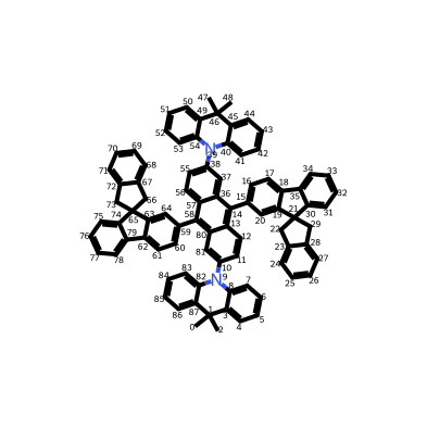 CC1(C)c2ccccc2N(c2ccc3c(-c4ccc5c(c4)C4(Cc6ccccc6C4)c4ccccc4-5)c4cc(N5c6ccccc6C(C)(C)c6ccccc65)ccc4c(-c4ccc5c(c4)C4(Cc6ccccc6C4)c4ccccc4-5)c3c2)c2ccccc21